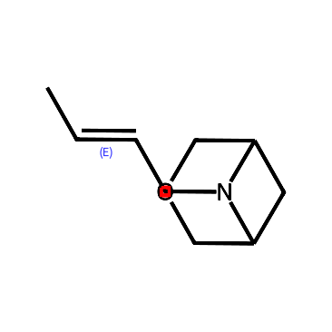 C/C=C/CN1C2COCC1C2